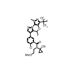 COCCN(C(=O)c1cc(-c2cnn3c2C(F)Oc2c(C(F)(C(F)(F)F)C(F)(F)F)nn(C)c2-3)ccc1Cl)C1(C#N)CC1